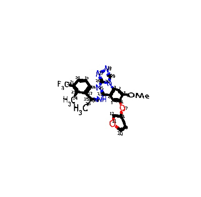 COc1cc2c(cc1OC1CCOC1)c(N[C@H](C)c1cccc(C(F)(F)F)c1C)nc1nncn12